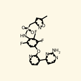 Cc1cc(CS(=O)(=O)Nc2c(F)cc(Oc3ncccc3-c3ccnc(N)n3)c(F)c2F)no1